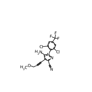 COCC#Cc1c(C#N)nn(-c2c(Cl)cc(C(F)(F)F)cc2Cl)c1N